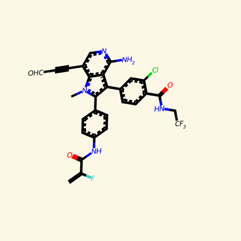 C=C(F)C(=O)Nc1ccc(-c2c(-c3ccc(C(=O)NCC(F)(F)F)c(Cl)c3)c3c(N)ncc(C#CC=O)c3n2C)cc1